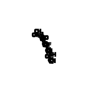 CC(=O)NC[C@H]1CN(c2ccc(-c3ccc(NC(=O)c4cccnc4)nc3)c(F)c2)C(=O)O1